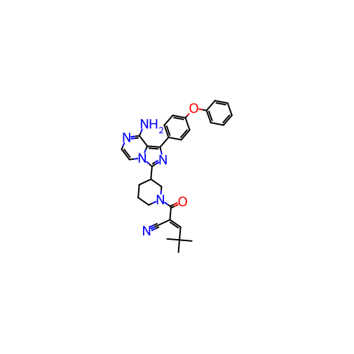 CC(C)(C)C=C(C#N)C(=O)N1CCCC(c2nc(-c3ccc(Oc4ccccc4)cc3)c3c(N)nccn23)C1